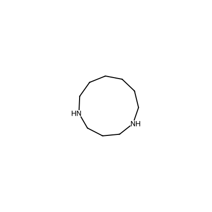 C1CCCNCCCNCC1